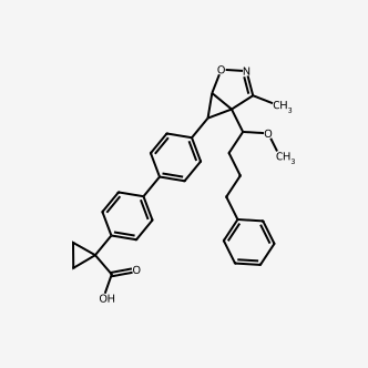 COC(CCCc1ccccc1)C12C(C)=NOC1C2c1ccc(-c2ccc(C3(C(=O)O)CC3)cc2)cc1